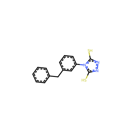 Sc1nnc(S)n1-c1cccc(Cc2ccccc2)c1